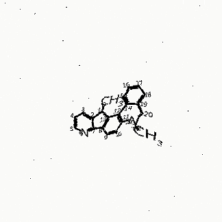 CC1c2cccnc2-c2ccc3c(c21)-c1ccccc1CN3C